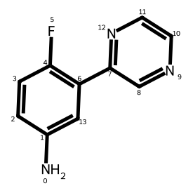 Nc1ccc(F)c(-c2cnccn2)c1